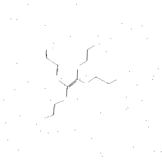 OCCSC(SCCO)=C(SCCO)SCCO